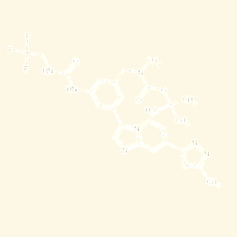 Cc1nnc(-c2ccn3c(-c4cc(CN(C)C(=O)OC(C)(C)C)cc(NC(=O)NCC(F)(F)F)c4)cnc3c2)o1